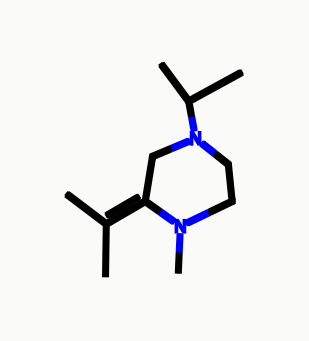 CC(C)=C1CN(C(C)C)CCN1C